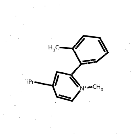 Cc1ccccc1-c1cc(C(C)C)cc[n+]1C